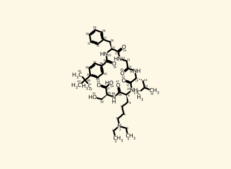 CCN(CC)CCCC[C@H](NC(=O)[C@@H](CC(C)C)NC(=O)CNC(=O)[C@H](Cc1ccccc1)NC(=O)c1ccc(C(C)(C)C)cc1)C(=O)N[C@@H](CO)C(=O)O